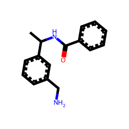 CC(NC(=O)c1ccccc1)c1cccc(CN)c1